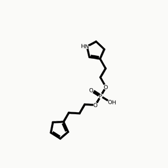 O=P(O)(OCCCC1=CC=CC1)OCCC1=CNCC1